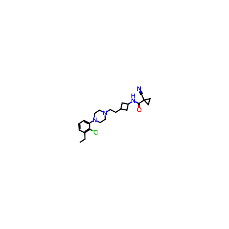 CCc1cccc(N2CCN(CCC3CC(NC(=O)C4(C#N)CC4)C3)CC2)c1Cl